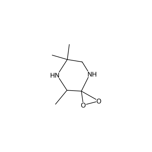 CC1NC(C)(C)CNC12OO2